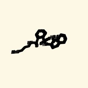 COCCCNC(=O)c1ccccc1S(=O)(=O)Nc1ccc2ccccc2c1C(=O)O